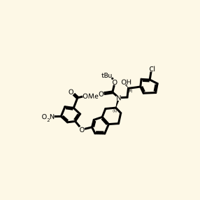 COC(=O)c1cc(Oc2ccc3c(c2)C[C@@H](N(C[C@H](O)c2cccc(Cl)c2)C(=O)OC(C)(C)C)CC3)cc([N+](=O)[O-])c1